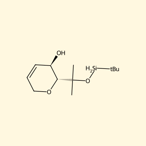 CC(C)(C)[SiH2]OC(C)(C)[C@@H]1OCC=C[C@H]1O